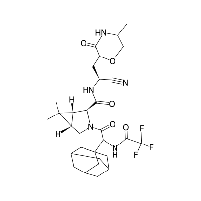 CC1COC(C[C@@H](C#N)NC(=O)[C@@H]2[C@@H]3[C@H](CN2C(=O)C(NC(=O)C(F)(F)F)C24CC5CC(CC(C5)C2)C4)C3(C)C)C(=O)N1